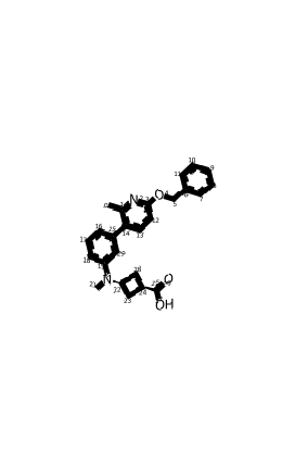 Cc1nc(OCc2ccccc2)ccc1-c1cccc(N(C)[C@H]2C[C@H](C(=O)O)C2)c1